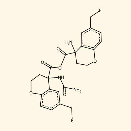 NC(=O)NC1(C(=O)OC(=O)C2(N)CCOc3ccc(CF)cc32)CCOc2ccc(CF)cc21